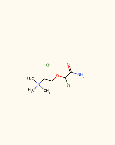 C[N+](C)(C)CCOC(Cl)C(N)=O.[Cl-]